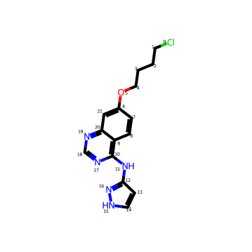 ClCCCCOc1ccc2c(Nc3c[c][nH]n3)ncnc2c1